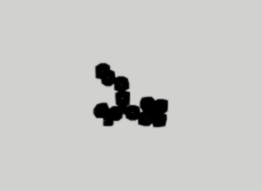 c1ccc(C2(c3ccccc3)c3ccccc3-c3c(-c4ccc(N(c5ccc(-c6cccc(-c7ccc8ccccc8c7)c6)cc5)c5ccc6sc7ccccc7c6c5)cc4)cccc32)cc1